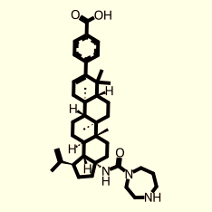 C=C(C)[C@@H]1CC[C@]2(NC(=O)N3CCCNCC3)CC[C@]3(C)[C@H](CC[C@@H]4[C@@]5(C)CC=C(c6ccc(C(=O)O)cc6)C(C)(C)[C@@H]5CC[C@]43C)[C@@H]12